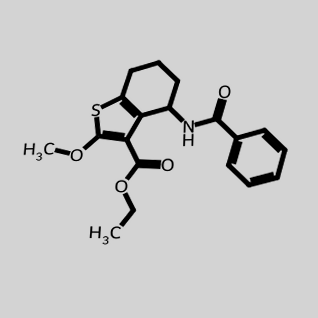 CCOC(=O)c1c(OC)sc2c1C(NC(=O)c1ccccc1)CCC2